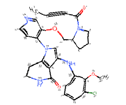 CC#CC(=O)N1CCC[C@H]1COc1cnccc1-n1cc(Nc2cccc(Cl)c2OC)c2c1CCNC2=O